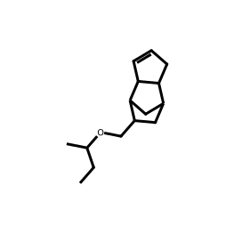 CCC(C)OCC1CC2CC1C1C=CCC21